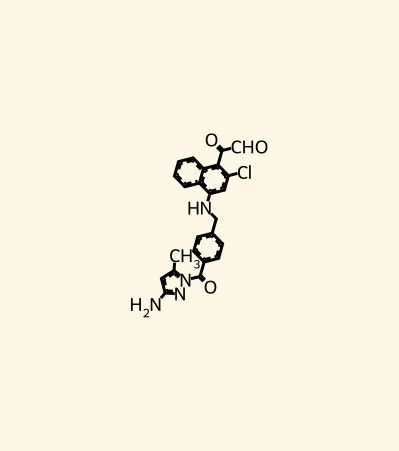 Cc1cc(N)nn1C(=O)c1ccc(CNc2cc(Cl)c(C(=O)C=O)c3ccccc23)cc1